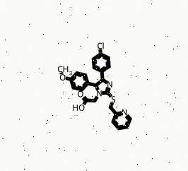 COc1ccc(C2C(c3ccc(Cl)cc3)N=C(SCc3ccccn3)N2CC(=O)O)cc1